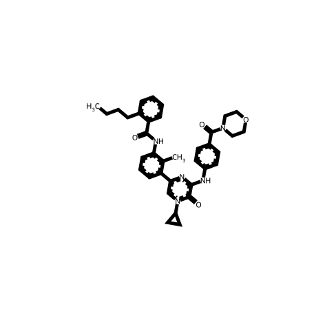 CCCCc1ccccc1C(=O)Nc1cccc(-c2cn(C3CC3)c(=O)c(Nc3ccc(C(=O)N4CCOCC4)cc3)n2)c1C